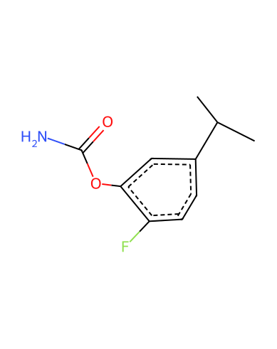 CC(C)c1ccc(F)c(OC(N)=O)c1